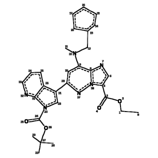 CCOC(=O)c1cnc2c(N(C)Cc3ccccc3)cc(-c3cn(C(=O)OC(C)(C)C)c4ncccc34)nn12